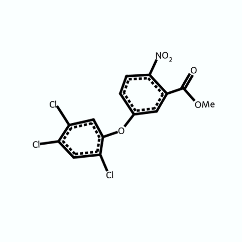 COC(=O)c1cc(Oc2cc(Cl)c(Cl)cc2Cl)ccc1[N+](=O)[O-]